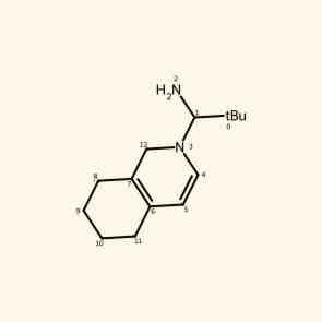 CC(C)(C)C(N)N1C=CC2=C([CH]CCC2)C1